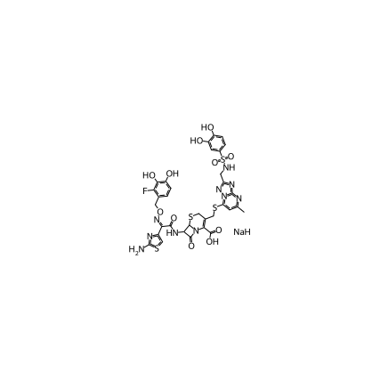 Cc1cc(SCC2=C(C(=O)O)N3C(=O)C(NC(=O)/C(=N\OCc4ccc(O)c(O)c4F)c4csc(N)n4)C3SC2)n2nc(CNS(=O)(=O)c3ccc(O)c(O)c3)nc2n1.[NaH]